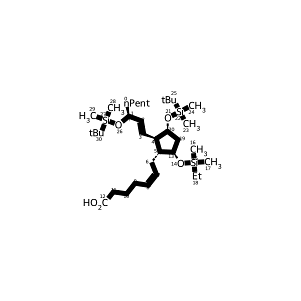 CCCCC[C@@H](/C=C/[C@@H]1[C@@H](C/C=C\CCCC(=O)O)[C@@H](O[Si](C)(C)CC)C[C@H]1O[Si](C)(C)C(C)(C)C)O[Si](C)(C)C(C)(C)C